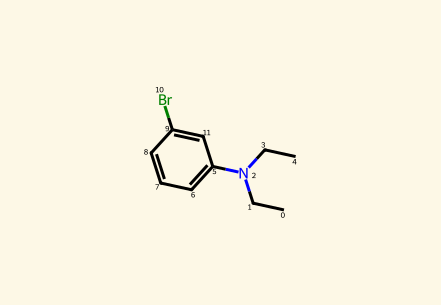 CCN(CC)c1cccc(Br)c1